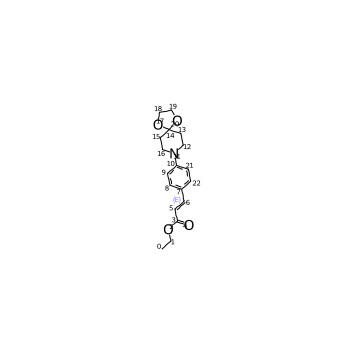 CCOC(=O)/C=C/c1ccc(N2CCC3(CC2)OCCO3)cc1